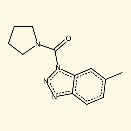 Cc1ccc2nnn(C(=O)N3CCCC3)c2c1